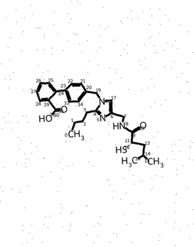 CCCCc1nc(CNC(=O)[C@@H](S)CC(C)C)cn1Cc1ccc(-c2ccccc2C(=O)O)cc1